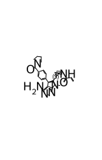 C=CC(=O)N[C@@H]1C[C@@H]1c1c(-c2ccc(C(=O)N3CCCC3)cc2)c2c(N)ncnc2n1C